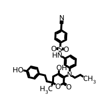 CCCN(C1=C(O)CC(C)(CCc2ccc(O)cc2)OC1=O)c1cccc(NS(=O)(=O)c2ccc(C#N)cc2)c1